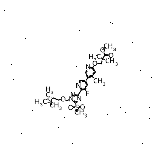 COC(=O)C(C)(C)COc1cc(C)c(-c2cnc(-c3nc(S(C)(=O)=O)n(COCC[Si](C)(C)C)n3)c(F)c2)cn1